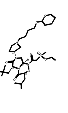 CCOP(C)(=O)CC(=O)N1O[C@@H](CC(C)C)C(=O)N2[C@@H](CC(C)(C)C)C(=O)N([C@@H]3CCN(CCCCOC4CCCCO4)C3)C[C@@H]12